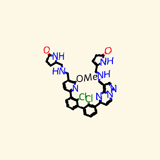 COc1nc(-c2cccc(-c3cccc(-c4ccn5ncc(CNCC6CCC(=O)N6)c5n4)c3Cl)c2Cl)ccc1CNCC1CCC(=O)N1